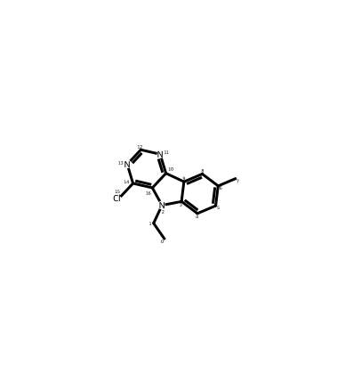 CCn1c2ccc(C)cc2c2ncnc(Cl)c21